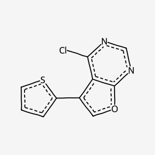 Clc1ncnc2occ(-c3cccs3)c12